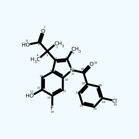 Cc1c(C(C)(C)C(=O)O)c2cc(O)c(F)cc2n1C(=O)c1cccc(Cl)c1